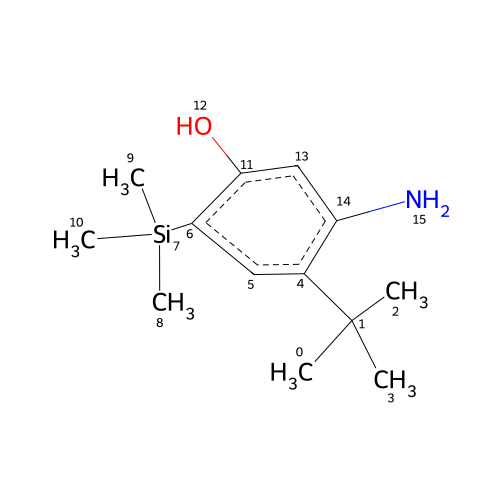 CC(C)(C)c1cc([Si](C)(C)C)c(O)cc1N